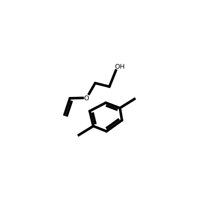 C=COCCO.Cc1ccc(C)cc1